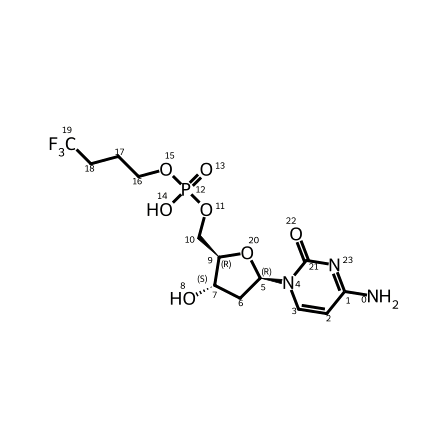 Nc1ccn([C@H]2C[C@H](O)[C@@H](COP(=O)(O)OCCCC(F)(F)F)O2)c(=O)n1